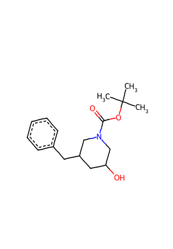 CC(C)(C)OC(=O)N1CC(O)CC(Cc2ccccc2)C1